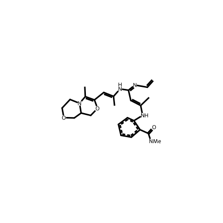 C=C/N=C(\C=C(/C)Nc1ccccc1C(=O)NC)N/C(C)=C/C1=C(C)N2CCOCC2CO1